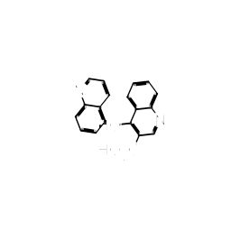 O=C(O)c1cnc2ccccc2c1O.c1ccc2ncccc2c1